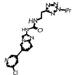 CC(C)n1nnc(CCNC(=O)Nc2cn3cc(-c4cncc(Cl)c4)ccc3n2)n1